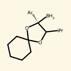 B[C@]1(C(C)=O)OC2(CCCCC2)OC1C(C)C